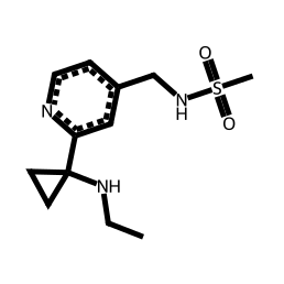 CCNC1(c2cc(CNS(C)(=O)=O)ccn2)CC1